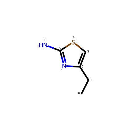 CCc1csc([NH])n1